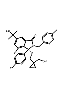 Cc1ccc(CN2C(=O)c3cc(C(C)(C)O)cc(F)c3[C@]2(OCC2(CO)CC2)c2ccc(Cl)cc2)nc1